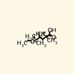 CCO[Si](C)(C)C(C)CC(C)(C)C(=O)O